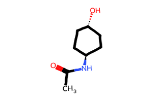 CC(=O)N[C@H]1CC[C@H](O)CC1